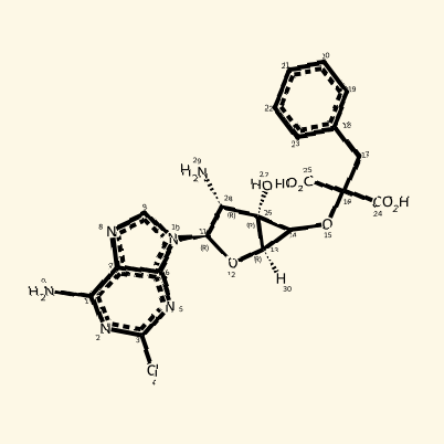 Nc1nc(Cl)nc2c1ncn2[C@@H]1O[C@@H]2C(OC(Cc3ccccc3)(C(=O)O)C(=O)O)[C@]2(O)[C@H]1N